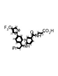 CC(C)CC(Nc1ccc(C(=O)NCCC(=O)O)cn1)c1ccc(-n2cc(C(F)(F)F)cn2)cc1